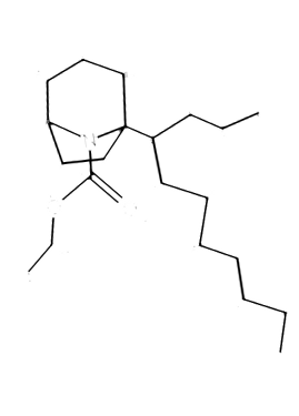 CCCCCCCC(CCC)C12CCCC(CC1)N2C(=O)OCC